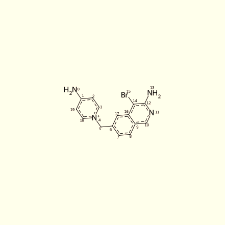 Nc1cc[n+](Cc2ccc3cnc(N)c(Br)c3c2)cc1